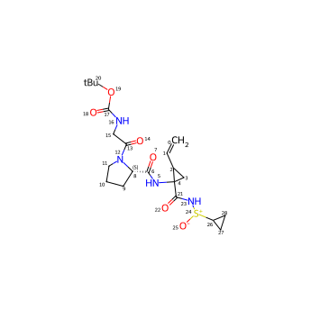 C=CC1CC1(NC(=O)[C@@H]1CCCN1C(=O)CNC(=O)OC(C)(C)C)C(=O)N[S+]([O-])C1CC1